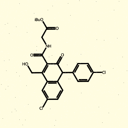 CC(C)COC(=O)CNC(=O)C1=C(CO)c2cc(Cl)ccc2C(c2ccc(Cl)cc2)C1=O